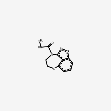 CCCCNC(=O)N1CCOc2cccc3onc1c23